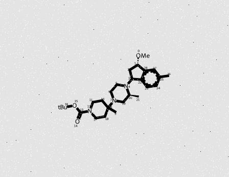 CO[C@H]1CC(N2CCN(C3(C)CCN(C(=O)OC(C)(C)C)CC3)C[C@@H]2C)c2ccc(C)cc21